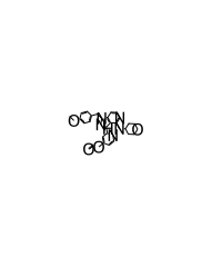 COc1ccc(Cn2nc(-c3cc(OC=O)ccn3)c3c(NC4CCOCC4)nccc32)cc1